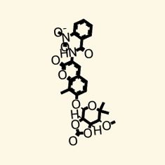 CO[C@@H]1[C@H]2OC(=O)O[C@H]2[C@H](Oc2ccc3cc(NC(=O)c4ccccc4[N+](=O)[O-])c(=O)oc3c2C)OC1(C)C